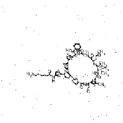 COCCC1/N=C(\SC)[C@H](C(C)C)NC(=O)c2nc(sc2C)[C@H](CC=O)NC(=O)c2csc(n2)-c2ccc(-c3nc(NC(=O)CCCCCN)cs3)nc2-c2csc(n2)-c2csc(n2)[C@H]([C@@H](O)c2ccccc2)N(N)C(=O)CNC1=O